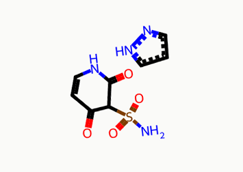 NS(=O)(=O)C1C(=O)C=CNC1=O.c1cn[nH]c1